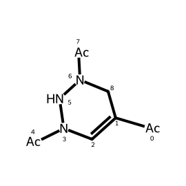 CC(=O)C1=CN(C(C)=O)NN(C(C)=O)C1